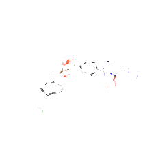 O=C1NCCN1c1ccc(S(=O)(=O)Nc2ccc(Br)cc2)cc1